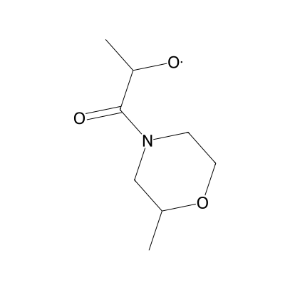 CC1CN(C(=O)C(C)[O])CCO1